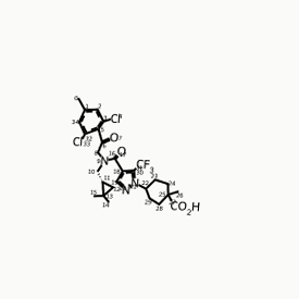 Cc1cc(Cl)c(C(=O)CN(C[C@@H]2CC2(C)C)C(=O)c2cnn(C3CCC(C)(C(=O)O)CC3)c2C(F)(F)F)c(Cl)c1